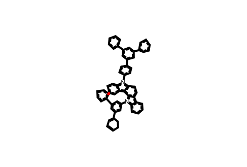 C1=CCCC(c2cc(-c3ccccc3)cc(-n3c4ccccc4c4ccc5c(c6ccccc6n5-c5ccc(-c6cc(-c7ccccc7)cc(-c7ccccc7)c6)cc5)c43)c2)=C1